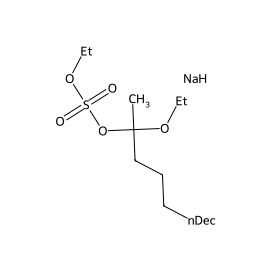 CCCCCCCCCCCCCC(C)(OCC)OS(=O)(=O)OCC.[NaH]